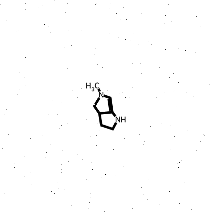 CN1C=C2NCCC2C1